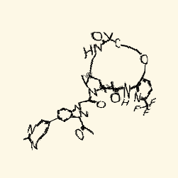 CC(=O)c1nn(CC(=O)N2C3C[C@@]34CNC(=O)C(C)(C)CCCOCc3ccc(C(F)(F)F)nc3NC(=O)[C@@H]2C4)c2ccc(-c3cnc(C)nc3)cc12